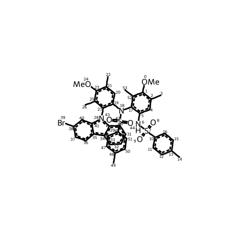 COc1c(C)cc(NS(=O)(=O)c2ccc(C)cc2)c(N(c2cc(C)c(OC)c(C)c2-n2c3ccccc3c3ccc(Br)cc32)S(=O)(=O)c2ccc(C)cc2)c1C